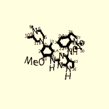 COc1cc(N2CCN(C)C(C)C2)c(C)cc1Nc1nc(Nc2cccc3ccn(S(C)(=O)=O)c23)c2cc[nH]c2n1